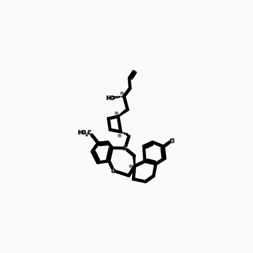 C=CC[C@@H](O)C[C@@H]1CC[C@H]1CN1C[C@@]2(CCCc3cc(Cl)ccc32)COc2ccc(C(=O)O)cc21